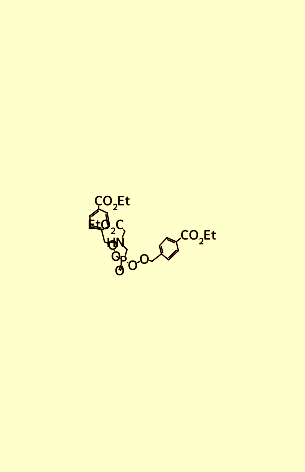 CCOC(=O)CNCP(=O)(OOCc1ccc(C(=O)OCC)cc1)OOCc1ccc(C(=O)OCC)cc1